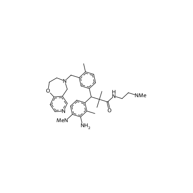 CNCCNC(=O)C(C)(C)C(c1ccc(C)c(CN2CCOc3ccncc3C2)c1)c1ccc(NC)c(N)c1C